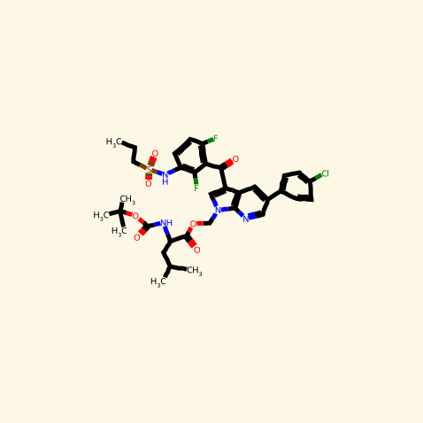 CCCS(=O)(=O)Nc1ccc(F)c(C(=O)c2cn(COC(=O)C(CC(C)C)NC(=O)OC(C)(C)C)c3ncc(-c4ccc(Cl)cc4)cc23)c1F